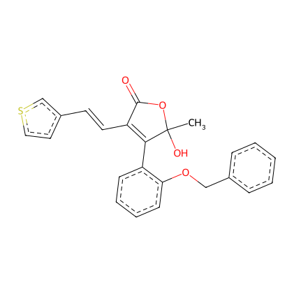 CC1(O)OC(=O)C(/C=C/c2ccsc2)=C1c1ccccc1OCc1ccccc1